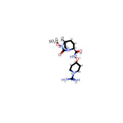 N=C(N)N1CCC(ONC(=O)[C@@H]2CC[C@@H]3CN2C(=O)N3OS(=O)(=O)O)CC1